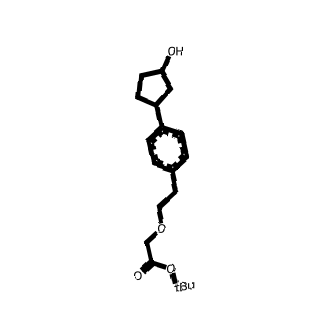 CC(C)(C)OC(=O)COCCc1ccc(C2CCC(O)C2)cc1